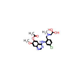 COc1cc2ncnc(Nc3cc(Cl)ccc3CN(C)CC(O)O)c2cc1OC(C)=O